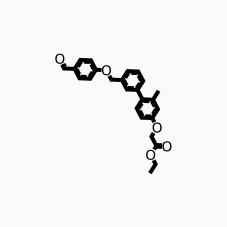 CCOC(=O)COc1ccc(-c2cccc(COc3ccc(C=O)cc3)c2)c(C)c1